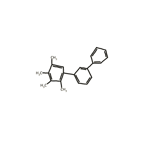 Cc1cc(-c2cccc(-c3ccccc3)c2)c(C)c(C)c1C